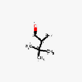 [2H]C(C=O)C(C)(C)C